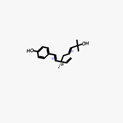 C=C[C@@](C)(/C=C/c1ccc(O)cc1)C/C=C/C(C)(C)O